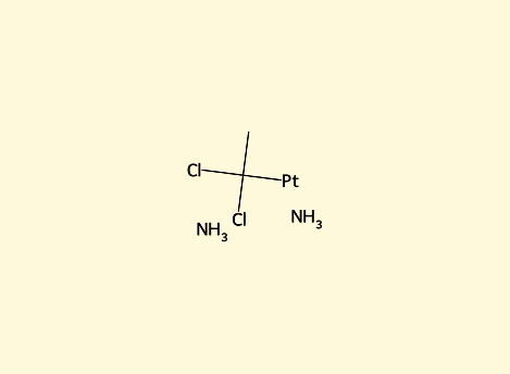 C[C](Cl)(Cl)[Pt].N.N